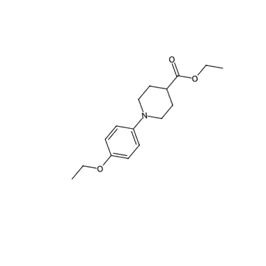 CCOC(=O)C1CCN(c2ccc(OCC)cc2)CC1